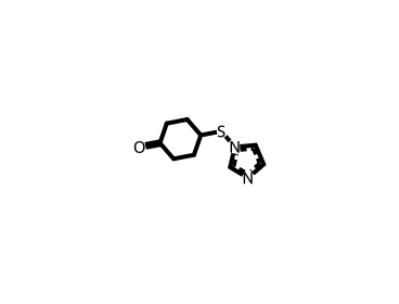 O=C1CCC(Sn2ccnc2)CC1